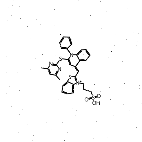 Cc1cc(C)nc(SC2=C/C(=C\c3sc4ccccc4[n+]3CCCS(=O)(=O)O)c3ccccc3N2c2ccccc2)n1